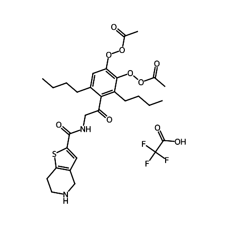 CCCCc1cc(OOC(C)=O)c(OOC(C)=O)c(CCCC)c1C(=O)CNC(=O)c1cc2c(s1)CCNC2.O=C(O)C(F)(F)F